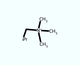 CC(C)C[N+](C)(C)C